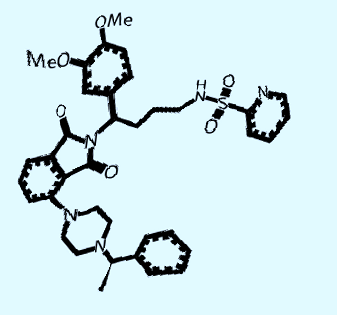 COc1ccc(C(CCCNS(=O)(=O)c2ccccn2)N2C(=O)c3cccc(N4CCN([C@H](C)c5ccccc5)CC4)c3C2=O)cc1OC